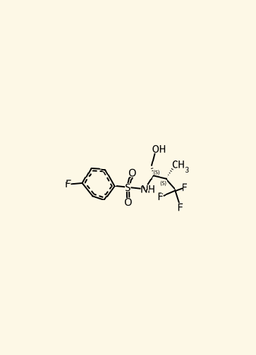 C[C@@H]([C@@H](CO)NS(=O)(=O)c1ccc(F)cc1)C(F)(F)F